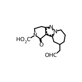 O=CCC1CCCn2nc3c(c2C1)C(=O)N(C(=O)O)CC3